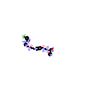 CN1C(=O)C[C@H](C(=O)NCCNC(=O)C2CCC3(CC2)CCN(CCCC(=O)NCCN2CC[C@H](Nc4ncnc5ccc(C(F)(F)F)cc45)C2=O)CC3)[C@H]1c1cccnc1